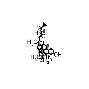 CC[C@@H]1C2C[C@H](O)CCC2(C)[C@H]2CCC3(C)C([C@H](C)CCC(=O)NNC(=O)C4CC4)CC[C@H]3[C@@H]2[C@@H]1O[Si](C)(C)C